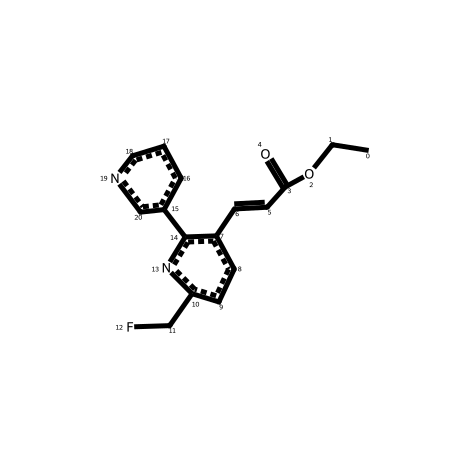 CCOC(=O)/C=C/c1ccc(CF)nc1-c1cccnc1